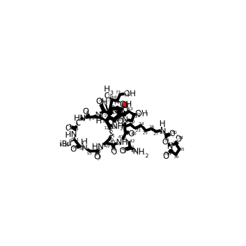 CC[C@H](C)[C@@H]1NC(=O)CNC(=O)C2Cc3c4[nH]c5cc(ccc35)OC(CCCCCCNC(=O)ON3C(=O)CCC3=O)(C(=O)[C@H](CC(N)=O)NC(=O)C(CS4)NC(=O)CNC1=O)N1CC(O)C[C@H]1C(=O)N[C@@H]([C@@H](C)[C@@H](O)CO)C(=O)N2